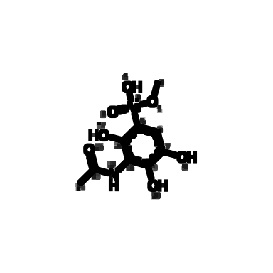 CO[As](=O)(O)c1cc(O)c(O)c(NC(C)=O)c1O